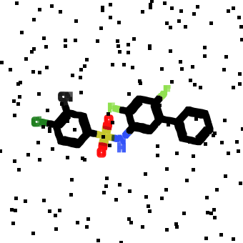 N#Cc1cc(S(=O)(=O)Nc2cc(-c3ccccc3)c(F)cc2F)ccc1Cl